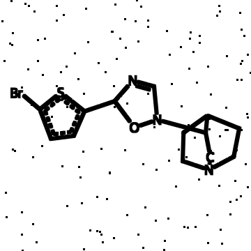 Brc1ccc(C2N=CN(C3CN4CCC3CC4)O2)s1